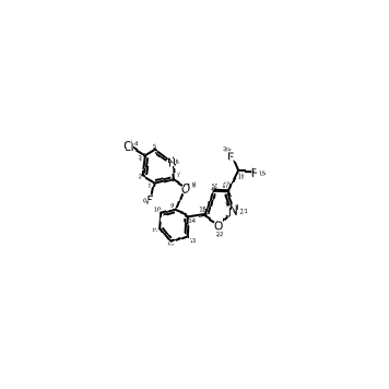 Fc1cc(Cl)cnc1Oc1ccccc1-c1cc(C(F)F)no1